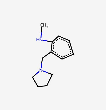 CNc1ccccc1CN1CCCC1